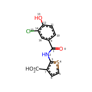 O=C(Nc1sccc1C(=O)O)c1ccc(O)c(Cl)c1